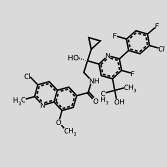 COc1cc(C(=O)NC[C@](O)(c2cc(C(C)(C)O)c(F)c(-c3cc(Cl)c(F)cc3F)n2)C2CC2)cc2cc(Cl)c(C)nc12